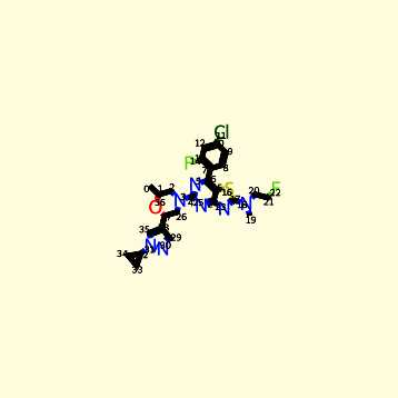 CC1CN(c2nc(-c3ccc(Cl)cc3F)c3sc(N(C)CCF)nc3n2)CC(c2cnn(C3CC3)c2)O1